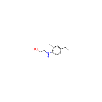 CCc1ccc(NCCO)c(C)c1